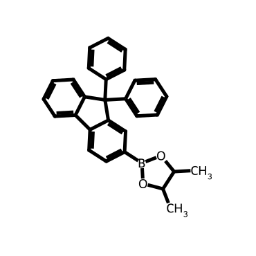 CC1OB(c2ccc3c(c2)C(c2ccccc2)(c2ccccc2)c2ccccc2-3)OC1C